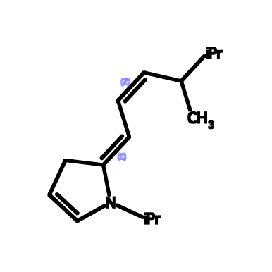 CC(C)C(C)/C=C\C=C1/CC=CN1C(C)C